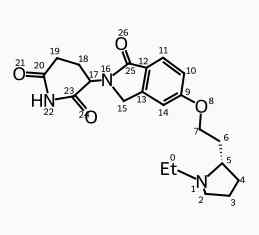 CCN1CCC[C@H]1CCOc1ccc2c(c1)CN(C1CCC(=O)NC1=O)C2=O